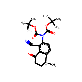 C[C@H]1CCC(=O)c2c1ccc(N(C(=O)OC(C)(C)C)C(=O)OC(C)(C)C)c2C#N